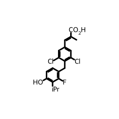 C/C(=C\c1cc(Cl)c(Cc2ccc(O)c(C(C)C)c2F)c(Cl)c1)C(=O)O